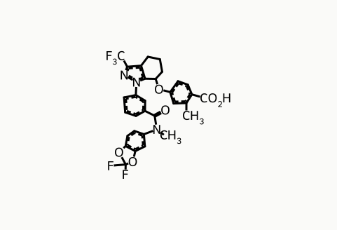 Cc1cc(OC2CCCc3c(C(F)(F)F)nn(-c4cccc(C(=O)N(C)c5ccc6c(c5)OC(F)(F)O6)c4)c32)ccc1C(=O)O